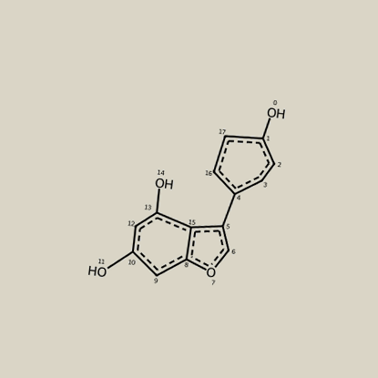 Oc1ccc(-c2coc3cc(O)cc(O)c23)cc1